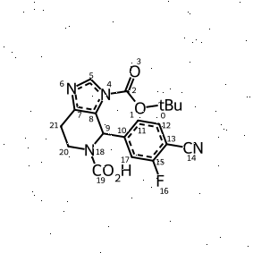 CC(C)(C)OC(=O)n1cnc2c1C(c1ccc(C#N)c(F)c1)N(C(=O)O)CC2